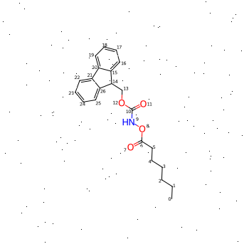 CCCCCCC(=O)ONC(=O)OCC1c2ccccc2-c2ccccc21